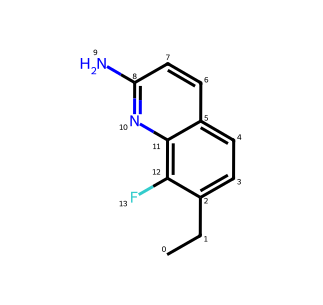 CCc1ccc2ccc(N)nc2c1F